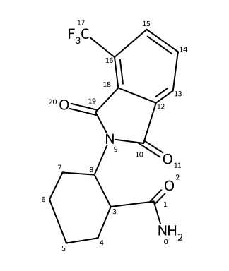 NC(=O)C1CCCCC1N1C(=O)c2cccc(C(F)(F)F)c2C1=O